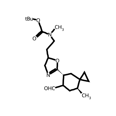 C[C@H]1CC(C=O)[C@H](C2=NCC(CCN(C)C(=O)OC(C)(C)C)O2)CC12CC2